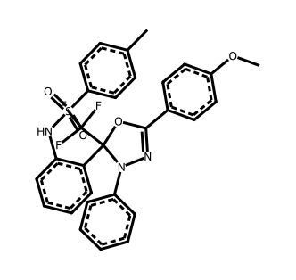 COc1ccc(C2=NN(c3ccccc3)C(c3ccccc3NS(=O)(=O)c3ccc(C)cc3)(C(F)(F)F)O2)cc1